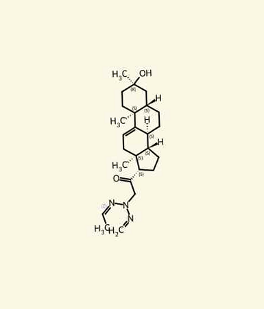 C=NN(CC(=O)[C@H]1CC[C@H]2[C@@H]3CC[C@H]4C[C@](C)(O)CC[C@]4(C)C3=CC[C@]12C)/N=C\C